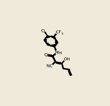 C=CCC(O)=C(C#N)C(=O)Nc1ccc(Cl)c(C(F)(F)F)c1